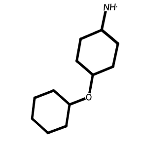 [NH]C1CCC(OC2CCCCC2)CC1